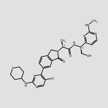 CNc1nccc([C@@H](CO)NC(=O)[C@H](C)N2Cc3ccc(-c4nc(NC5CCOCC5)ncc4Cl)cc3C2=O)n1